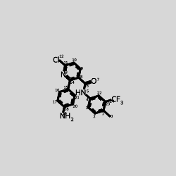 Cc1ccc(NC(=O)c2ccc(Cl)nc2-c2ccc(N)cc2)cc1C(F)(F)F